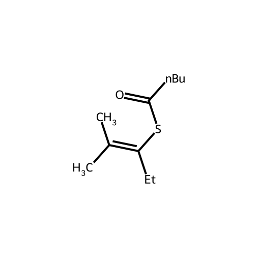 CCCCC(=O)SC(CC)=C(C)C